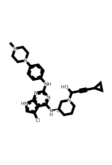 CN1CCN(c2ccc(Nc3nc(N[C@@H]4CCCN(C(O)C#CC5CC5)C4)c4c(Cl)c[nH]c4n3)cc2)CC1